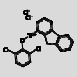 Clc1cccc(Cl)c1[O][Ti+2][c]1cccc2c1Cc1ccccc1-2.[Cl-].[Cl-]